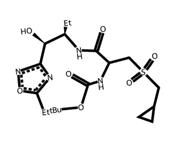 CCc1nc([C@@H](O)[C@@H](CC)NC(=O)C(CS(=O)(=O)CC2CC2)NC(=O)OC(C)(C)C)no1